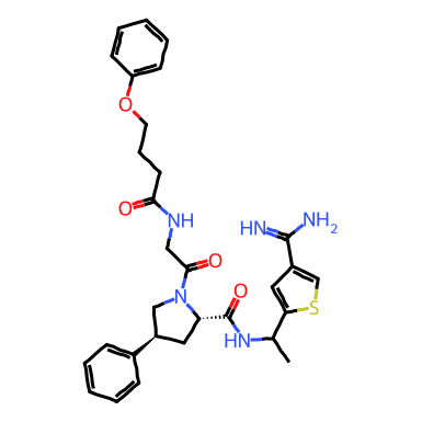 CC(NC(=O)[C@@H]1C[C@@H](c2ccccc2)CN1C(=O)CNC(=O)CCCOc1ccccc1)c1cc(C(=N)N)cs1